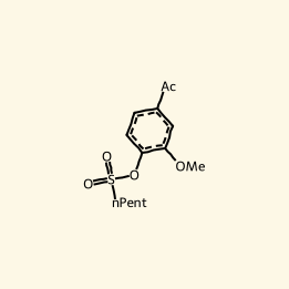 CCCCCS(=O)(=O)Oc1ccc(C(C)=O)cc1OC